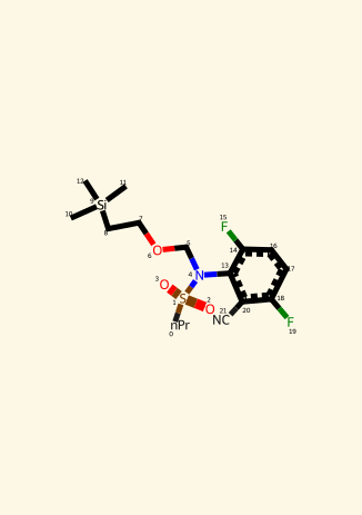 CCCS(=O)(=O)N(COCC[Si](C)(C)C)c1c(F)ccc(F)c1C#N